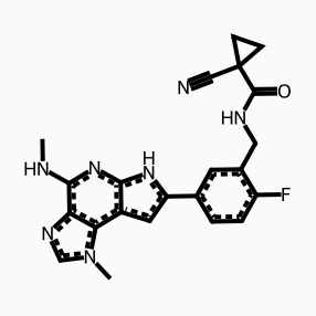 CNc1nc2[nH]c(-c3ccc(F)c(CNC(=O)C4(C#N)CC4)c3)cc2c2c1ncn2C